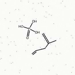 C=CCC(=C)C.O=P(O)(O)O